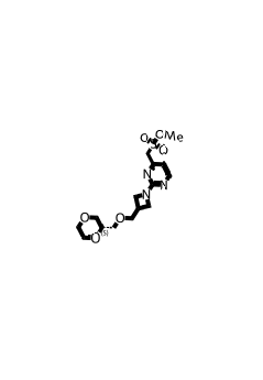 COS(=O)(=O)Cc1ccnc(N2CC(COC[C@H]3COCCO3)C2)n1